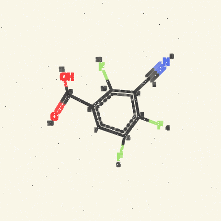 N#Cc1c(F)c(F)cc(C(=O)O)c1F